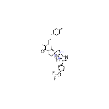 C=C1CCC(CCCCC(C)C(=O)c2ccc(N/C3=C\C/C=C\C=C4\C(c5ccc(OC(F)F)cc5)=CN=C34)cc2C)CC1